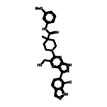 COc1cccc(NC(=N)C2(C)CCN(c3nc4[nH]nc(-c5ccc6cn[nH]c6c5Cl)c4nc3CO)CC2)c1